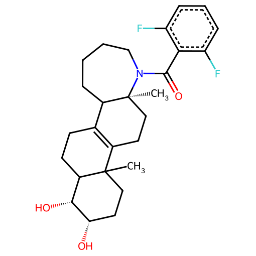 CC12CC[C@H](O)[C@H](O)C1CCC1=C2CC[C@@]2(C)C1CCCCN2C(=O)c1c(F)cccc1F